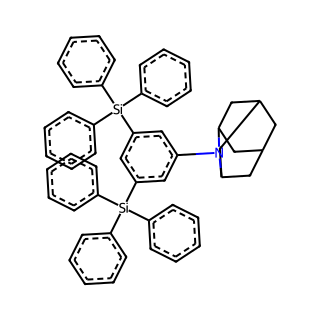 c1ccc([Si](c2ccccc2)(c2ccccc2)c2cc(N3C4CC5CC(C4)CC3C5)cc([Si](c3ccccc3)(c3ccccc3)c3ccccc3)c2)cc1